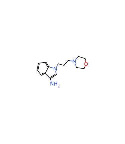 Nc1cn(CCCN2CCOCC2)c2ccccc12